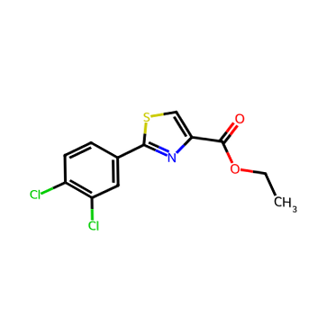 CCOC(=O)c1csc(-c2ccc(Cl)c(Cl)c2)n1